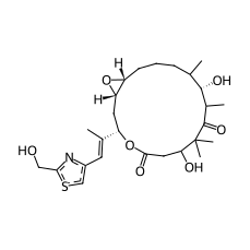 C/C(=C\c1csc(CO)n1)[C@@H]1C[C@@H]2O[C@@H]2CCCC(C)[C@H](O)C(C)C(=O)C(C)(C)C(O)CC(=O)O1